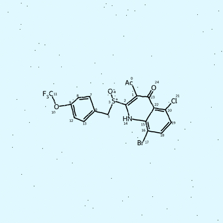 CC(=O)c1c([S+]([O-])Cc2ccc(OC(F)(F)F)cc2)[nH]c2c(Br)ccc(Cl)c2c1=O